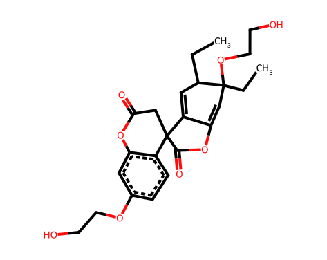 CCC1C=C2C(=CC1(CC)OCCO)OC(=O)C21CC(=O)Oc2cc(OCCO)ccc21